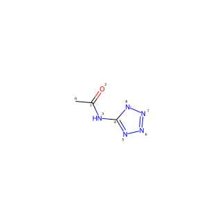 CC(=O)NC1=NN=N[N]1